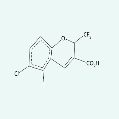 Cc1c(Cl)ccc2c1C=C(C(=O)O)C(C(F)(F)F)O2